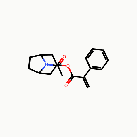 C=C(C(=O)OC1CC2CCC(C1)N2C(C)=O)c1ccccc1